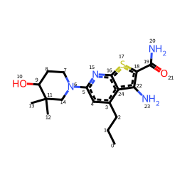 CCCc1cc(N2CCC(O)C(C)(C)C2)nc2sc(C(N)=O)c(N)c12